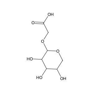 O=C(O)COC1OCC(O)C(O)C1O